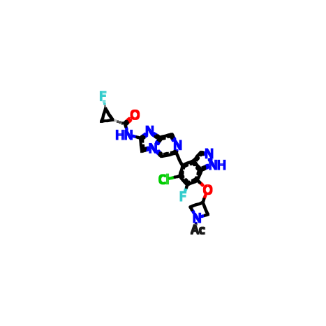 CC(=O)N1CC(Oc2c(F)c(Cl)c(-c3cn4cc(NC(=O)[C@@H]5C[C@@H]5F)nc4cn3)c3cn[nH]c23)C1